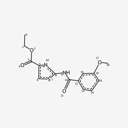 CCOC(=O)c1csc(NC(=O)c2cccc(OC)c2)n1